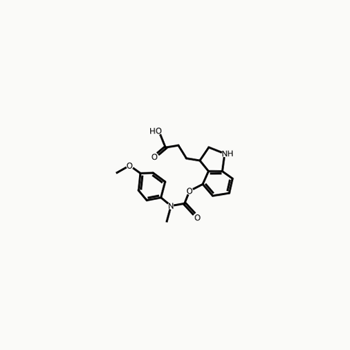 COc1ccc(N(C)C(=O)Oc2cccc3c2C(CCC(=O)O)CN3)cc1